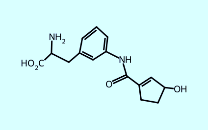 NC(Cc1cccc(NC(=O)C2=CC(O)CC2)c1)C(=O)O